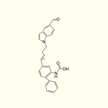 O=Cc1ccc2c(ccn2CC/C=C/c2ccc(-c3ccccc3)c(NC(=O)O)c2)c1